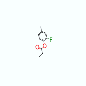 CCC(=O)Oc1ccc(C)cc1F